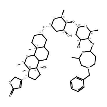 CC1CN(Cc2ccccc2)CCC(O[C@@H]2[C@H](C)O[C@@H](O[C@@H]3[C@H](C)O[C@@H](O[C@H]4CC[C@@]5(C)C(CCC6C5O[C@@H](C)[C@]5(C)[C@@H](C7=CC(=O)OC7)CC[C@]65O)C4)C[C@@H]3O)C[C@@H]2O)O1